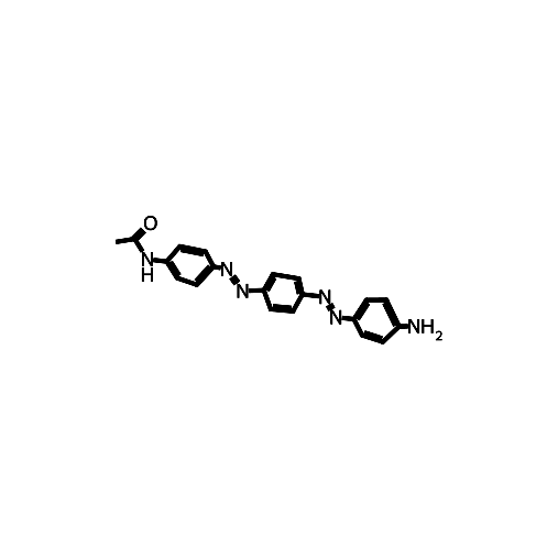 CC(=O)Nc1ccc(N=Nc2ccc(N=Nc3ccc(N)cc3)cc2)cc1